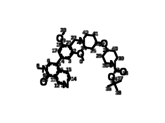 COc1cc(-c2cn(C)c(=O)c3cnccc23)cc(OC)c1CN1CCC(OC2CCN(C(=O)OC(C)(C)C)CC2)CC1